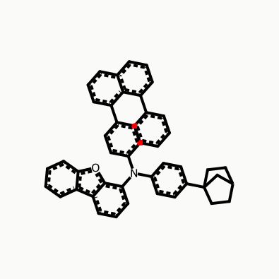 c1ccc(-c2cccc3cccc(-c4ccc(N(c5ccc(C67CCC(CC6)C7)cc5)c5cccc6c5oc5ccccc56)cc4)c23)cc1